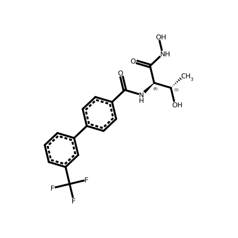 C[C@H](O)[C@@H](NC(=O)c1ccc(-c2cccc(C(F)(F)F)c2)cc1)C(=O)NO